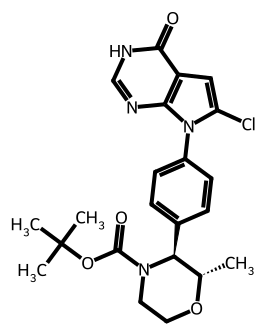 C[C@@H]1OCCN(C(=O)OC(C)(C)C)[C@H]1c1ccc(-n2c(Cl)cc3c(=O)[nH]cnc32)cc1